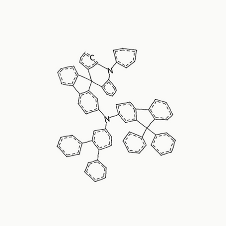 c1ccc(-c2ccc(N(c3ccc4c(c3)C(c3ccccc3)(c3ccccc3)c3ccccc3-4)c3ccc4c(c3)C3(c5ccccc5-4)c4ccccc4N(c4ccccc4)c4ccccc43)cc2-c2ccccc2)cc1